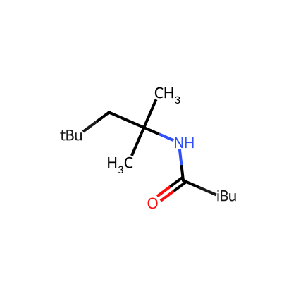 CCC(C)C(=O)NC(C)(C)CC(C)(C)C